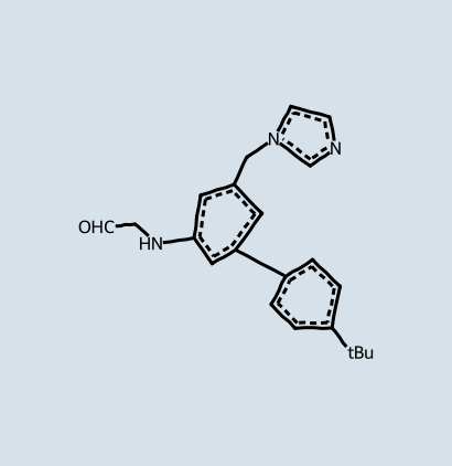 CC(C)(C)c1ccc(-c2cc(Cn3ccnc3)cc(NCC=O)c2)cc1